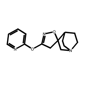 c1ccc(OC2=NOC3(C2)CN2CCC3CC2)nc1